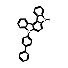 In1c2ccccc2c2c3c4ccccc4n(-c4ccc(-c5ccccc5)cc4)c3ccc21